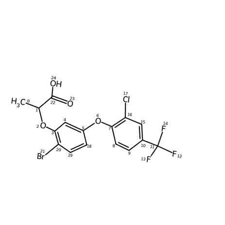 CC(Oc1cc(Oc2ccc(C(F)(F)F)cc2Cl)ccc1Br)C(=O)O